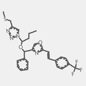 CCCC(OC(c1ccccc1)c1coc(C=Cc2ccc(C(F)(F)F)cc2)n1)n1cc(CSC)nn1